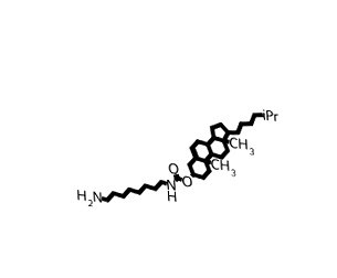 CC(C)CCCCC1CCC2C3CC=C4CC(OC(=O)NCCCCCCCCN)CCC4(C)C3CCC12C